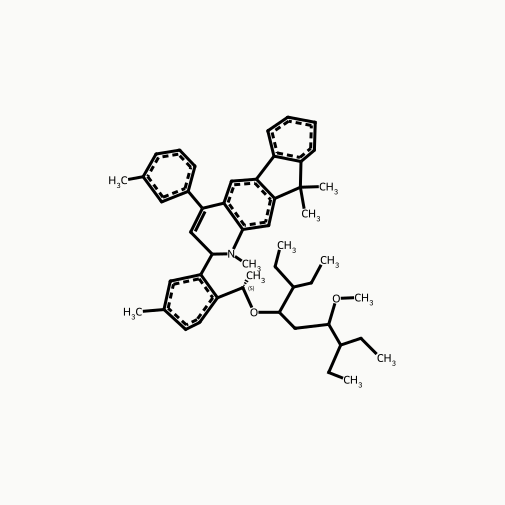 CCC(CC)C(CC(O[C@@H](C)c1ccc(C)cc1C1C=C(c2cccc(C)c2)c2cc3c(cc2N1C)C(C)(C)c1ccccc1-3)C(CC)CC)OC